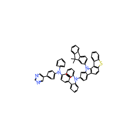 CC1(C)c2ccccc2-c2ccc(-n3c4cc(N(c5ccccc5)c5ccccc5-c5ccc(N(c6ccccc6)c6ccc(-c7cncnc7)cc6)cc5)ccc4c4ccc5sc6ccccc6c5c43)cc21